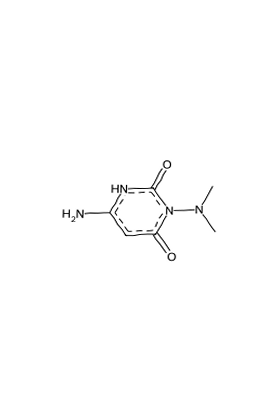 CN(C)n1c(=O)cc(N)[nH]c1=O